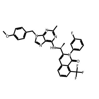 COc1ccc(Cn2cnc3c(N[C@@H](C)c4cc5cccc(C(F)(F)F)c5c(=O)n4-c4cccc(F)c4)nc(C)nc32)cc1